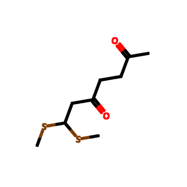 CSC(CC(=O)CCC(C)=O)SC